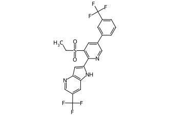 CCS(=O)(=O)c1cc(-c2cccc(C(F)(F)F)c2)cnc1-c1cc2ncc(C(F)(F)F)cc2[nH]1